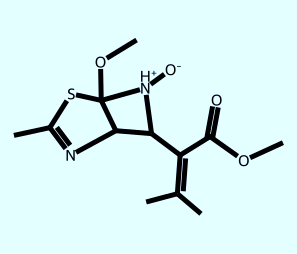 COC(=O)C(=C(C)C)C1C2N=C(C)SC2(OC)[NH+]1[O-]